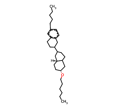 CCCCCCO[C@@H]1CC[C@@H]2CC(C3CCc4cc(CCCCC)ccc4C3)CCC2C1